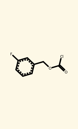 O=C(Cl)OCc1cccc(F)c1